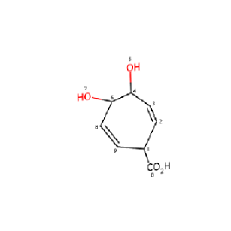 O=C(O)C1C=CC(O)C(O)C=C1